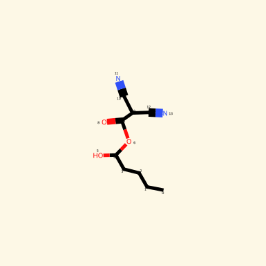 CCCCC(O)OC(=O)C(C#N)C#N